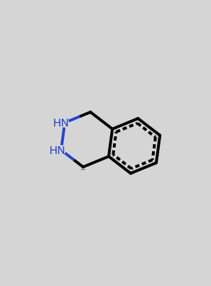 [C]1NNCc2ccccc21